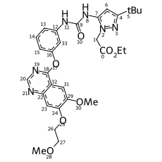 CCOC(=O)Cn1nc(C(C)(C)C)cc1NC(=O)Nc1cccc(Oc2ncnc3cc(OCCOC)c(OC)cc23)c1